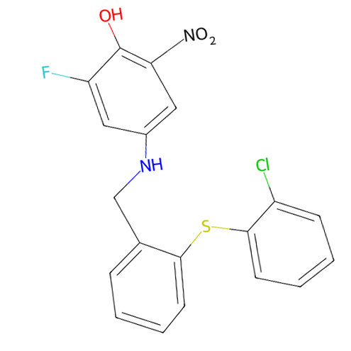 O=[N+]([O-])c1cc(NCc2ccccc2Sc2ccccc2Cl)cc(F)c1O